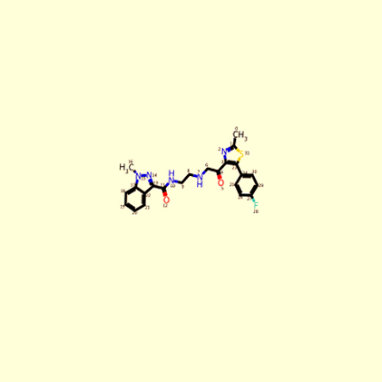 Cc1nc(C(=O)CNCCNC(=O)c2nn(C)c3ccccc23)c(-c2ccc(F)cc2)s1